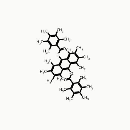 Cc1c(C)c(C)c(C(=O)Oc2c3c(C)c(C)c(C)c(C)c3c(OC(=O)c3c(C)c(C)c(C)c(C)c3C)c3c(C)c(C)c(C)c(C)c23)c(C)c1C